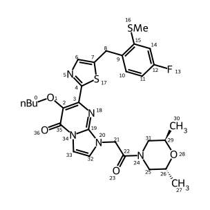 CCCCOc1c(-c2ncc(Cc3ccc(F)cc3SC)s2)nc2n(CC(=O)N3C[C@@H](C)O[C@H](C)C3)ccn2c1=O